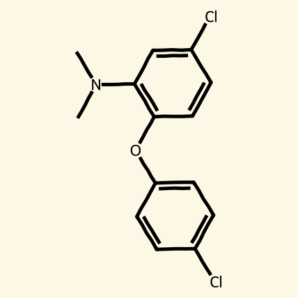 CN(C)c1cc(Cl)ccc1Oc1ccc(Cl)cc1